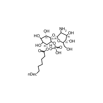 CCCCCCCCCCCCCCCC(=O)O[C@@H]1C(O)C(O)[C@H](O)[C@H](O[C@H]2OC(CO)[C@@H](O)[C@H](O)C2N)C1OP(=O)(O)O